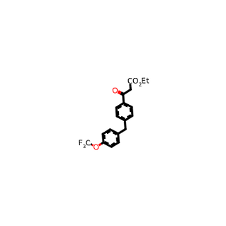 CCOC(=O)CC(=O)c1ccc(Cc2ccc(OC(F)(F)F)cc2)cc1